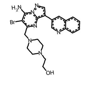 Nc1c(Br)c(CN2CCN(CCO)CC2)nc2c(-c3cnc4ccccc4c3)cnn12